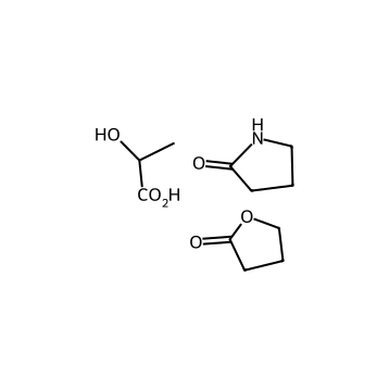 CC(O)C(=O)O.O=C1CCCN1.O=C1CCCO1